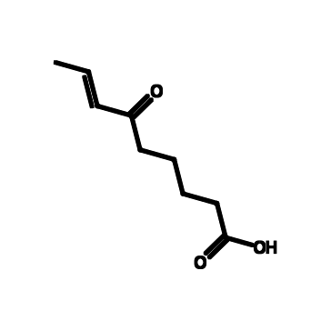 CC=CC(=O)CCCCC(=O)O